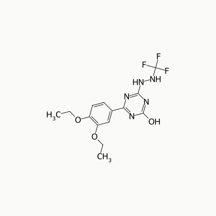 CCOc1ccc(-c2nc(O)nc(NNC(F)(F)F)n2)cc1OCC